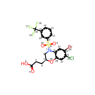 O=C(O)CC[C@H]1CN(S(=O)(=O)c2cccc(C(F)(F)F)c2)c2cc(Br)c(Cl)cc2O1